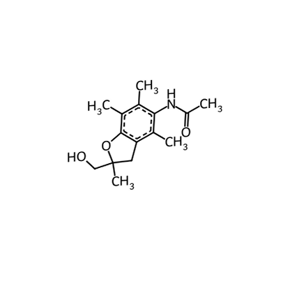 CC(=O)Nc1c(C)c(C)c2c(c1C)CC(C)(CO)O2